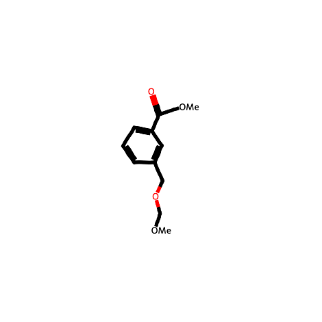 COCOCc1cccc(C(=O)OC)c1